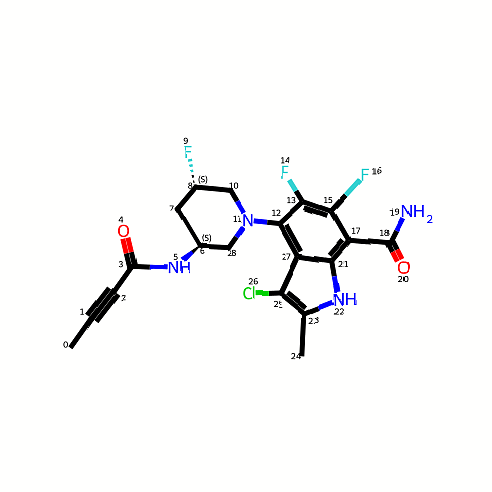 CC#CC(=O)N[C@H]1C[C@H](F)CN(c2c(F)c(F)c(C(N)=O)c3[nH]c(C)c(Cl)c23)C1